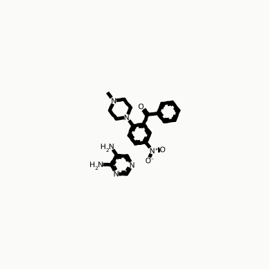 CN1CCN(c2ccc([N+](=O)[O-])cc2C(=O)c2ccccc2)CC1.Nc1cncnc1N